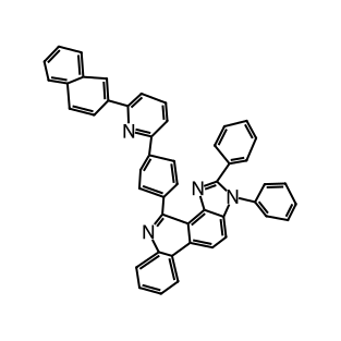 c1ccc(-c2nc3c4c(-c5ccc(-c6cccc(-c7ccc8ccccc8c7)n6)cc5)nc5ccccc5c4ccc3n2-c2ccccc2)cc1